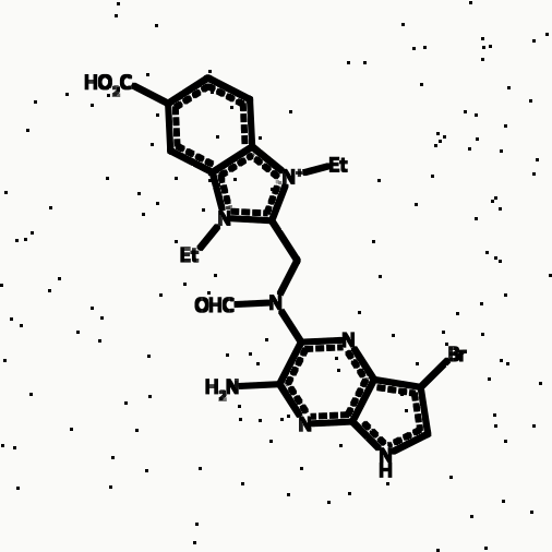 CCn1c(CN(C=O)c2nc3c(Br)c[nH]c3nc2N)[n+](CC)c2ccc(C(=O)O)cc21